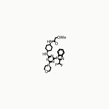 COCC(=O)NC1CCC(Nc2nc(N3CCOCC3)nc(-n3c(C(F)F)nc4ccccc43)n2)CC1